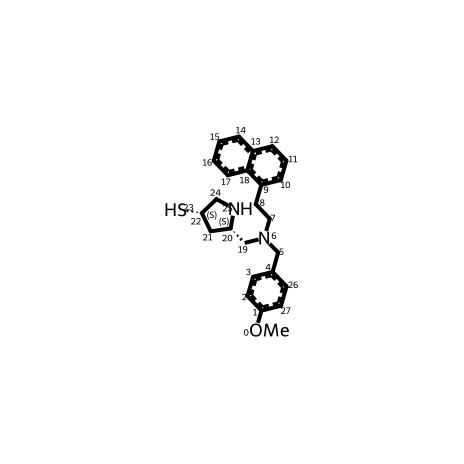 COc1ccc(CN(CCc2cccc3ccccc23)C[C@@H]2C[C@H](S)CN2)cc1